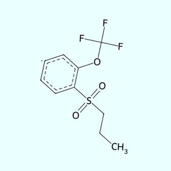 CCCS(=O)(=O)c1cc[c]cc1OC(F)(F)F